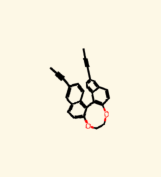 CC#Cc1ccc2c3c(ccc2c1)OCCOc1ccc2cc(C#CC)ccc2c1-3